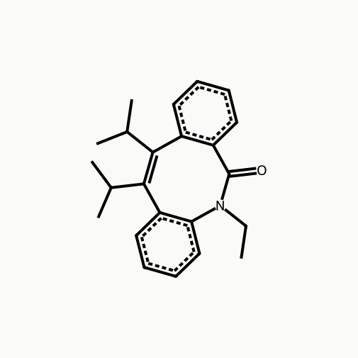 CCN1C(=O)c2ccccc2/C(C(C)C)=C(/C(C)C)c2ccccc21